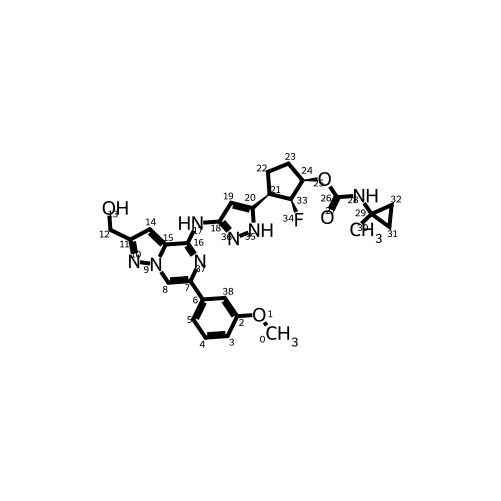 COc1cccc(-c2cn3nc(CO)cc3c(Nc3cc([C@H]4CC[C@@H](OC(=O)NC5(C)CC5)[C@H]4F)[nH]n3)n2)c1